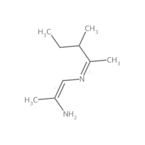 CCC(C)/C(C)=N\C=C(\C)N